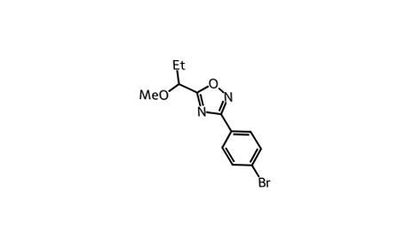 CCC(OC)c1nc(-c2ccc(Br)cc2)no1